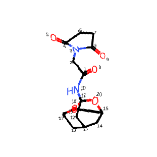 O=C(CN1C(=O)CCC1=O)NC12CC3CC(CC(C3)O1)O2